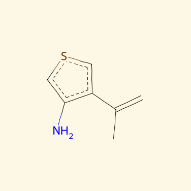 C=C(C)c1cscc1N